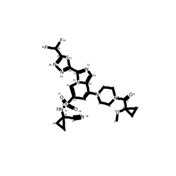 COC1(C(=O)N2CCN(c3cc(S(=O)(=O)NC4(C#N)CC4)cn4c(-c5nnc(C(F)F)s5)ncc34)CC2)CC1